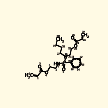 C=CC(=O)OCCNP(=O)(c1ccccc1)N(CCCC)CCOC(=O)C=C